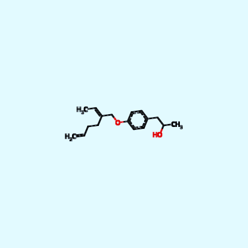 C=CCC/C(=C\C)COc1ccc(CC(C)O)cc1